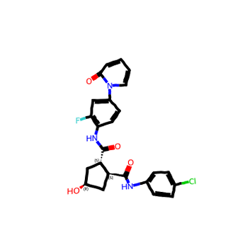 O=C(Nc1ccc(Cl)cc1)[C@H]1C[C@@H](O)C[C@@H]1C(=O)Nc1ccc(-n2ccccc2=O)cc1F